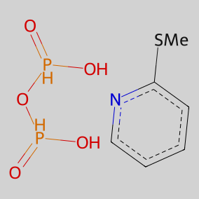 CSc1ccccn1.O=[PH](O)O[PH](=O)O